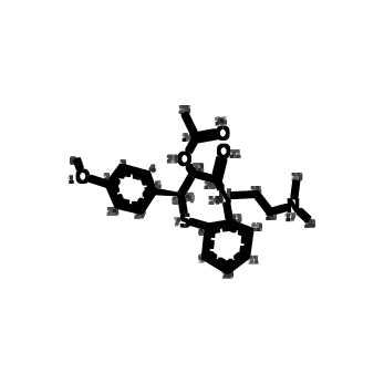 COc1ccc([C@@H]2Sc3ccccc3N(CCN(C)C)C(=O)C2OC(C)=O)cc1